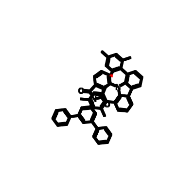 Cc1cc(C)c(-c2cccc3c4cccc(-c5c(C)cc(C)cc5C)c4n(-c4cccc5c4C(=O)N(c4cc(-c6ccccc6)cc(-c6ccccc6)c4)C5=O)c23)c(C)c1